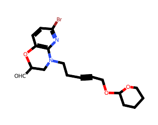 O=CC1CN(CCC#CCOC2CCCCO2)c2nc(Br)ccc2O1